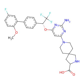 COc1ccc(F)cc1-c1ccc([C@@H](Oc2cc(N3CCC4(CC3)CNC(C(=O)O)C4)nc(N)n2)C(F)(F)F)cc1